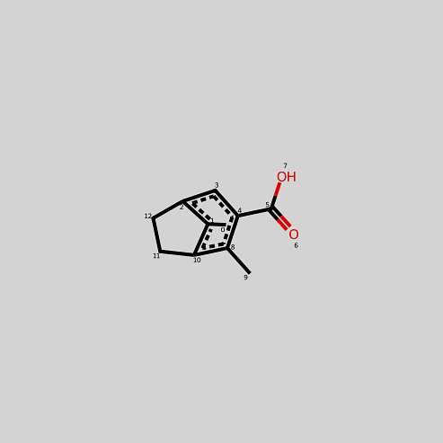 Cc1c2cc(C(=O)O)c(C)c1CC2